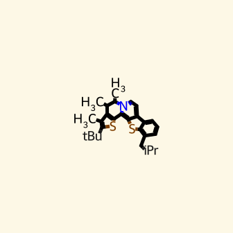 Cc1c(C(C)(C)C)sc2c1C(C)C(C)[n+]1ccc3c(sc4c(CC(C)C)cccc43)c1-2